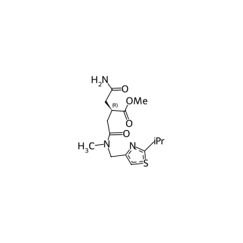 COC(=O)[C@H](CC(N)=O)CC(=O)N(C)Cc1csc(C(C)C)n1